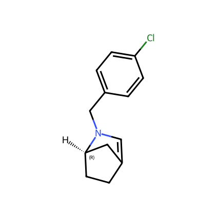 Clc1ccc(CN2C=C3CC[C@@H]2C3)cc1